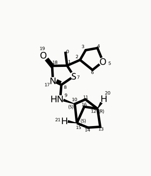 CC1(C2CCOC2)SC(N[C@H]2C[C@@H]3CC[C@H]2C3)=NC1=O